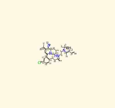 BC(C)(C)N(CCNC(=C)CCc1ccc(Cl)cc1C(=C)N1CCCCC1/C(C=C(C)C)=N/C)/C(C)=C/C=C